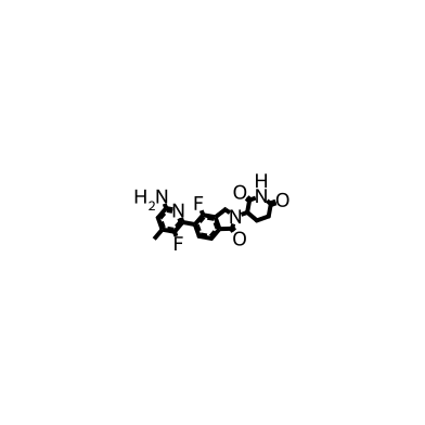 Cc1cc(N)nc(-c2ccc3c(c2F)CN(C2CCC(=O)NC2=O)C3=O)c1F